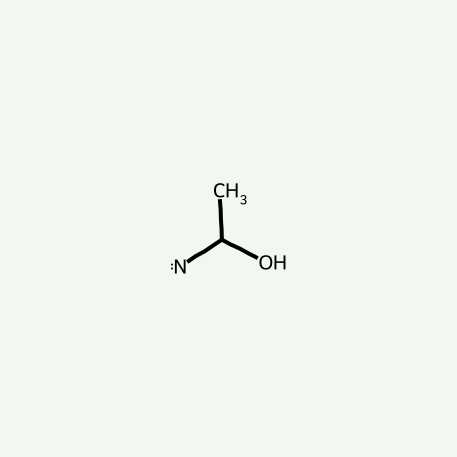 CC([N])O